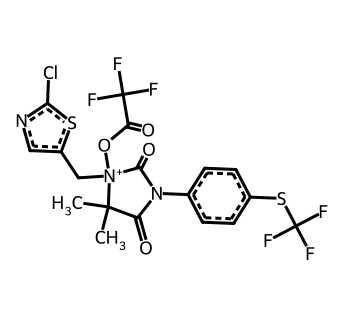 CC1(C)C(=O)N(c2ccc(SC(F)(F)F)cc2)C(=O)[N+]1(Cc1cnc(Cl)s1)OC(=O)C(F)(F)F